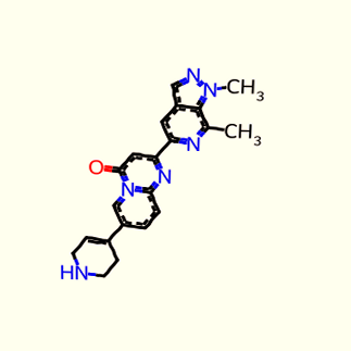 Cc1nc(-c2cc(=O)n3cc(C4=CCNCC4)ccc3n2)cc2cnn(C)c12